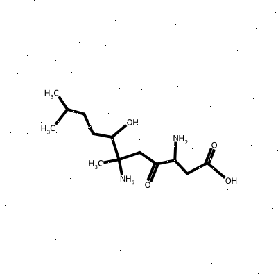 CC(C)CCC(O)C(C)(N)CC(=O)C(N)CC(=O)O